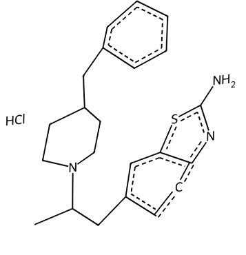 CC(Cc1ccc2nc(N)sc2c1)N1CCC(Cc2ccccc2)CC1.Cl